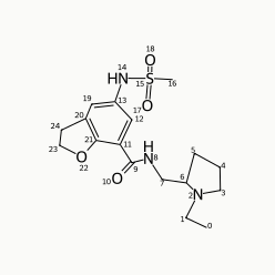 CCN1CCCC1CNC(=O)c1cc(NS(C)(=O)=O)cc2c1OCC2